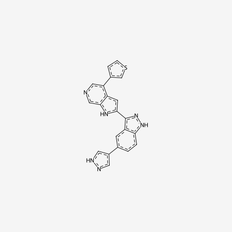 c1cc(-c2cncc3[nH]c(-c4n[nH]c5ccc(-c6cn[nH]c6)cc45)cc23)cs1